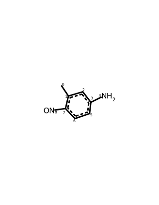 Cc1cc(N)ccc1N=O